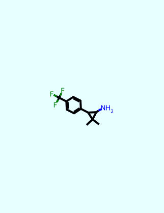 CC1(C)C(N)C1c1ccc(C(F)(F)F)cc1